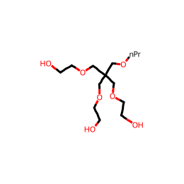 CCCOCC(COCCO)(COCCO)COCCO